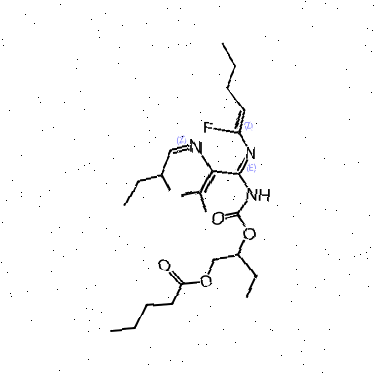 CCC/C=C(F)/N=C(/NC(=O)OC(CC)COC(=O)CCCC)C(/N=C\C(C)CC)=C(C)C